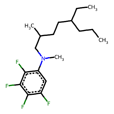 CCCC(CC)CCC(C)CN(C)c1cc(F)c(F)c(F)c1F